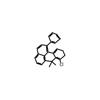 CC1(C)C2=C(Cl)CCC=C2c2c(-c3ccccc3)ccc3cccc1c23